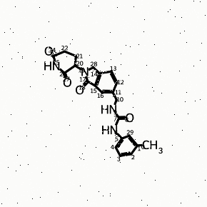 Cc1cccc(NC(=O)NCc2ccc3c(c2)C(=O)N(C2CCC(=O)NC2=O)C3)c1